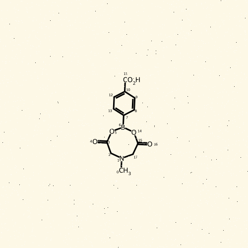 CN1CC(=O)OB(c2ccc(C(=O)O)cc2)OC(=O)C1